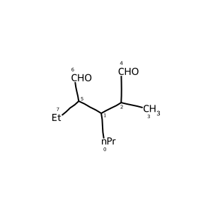 CCCC(C(C)C=O)C(C=O)CC